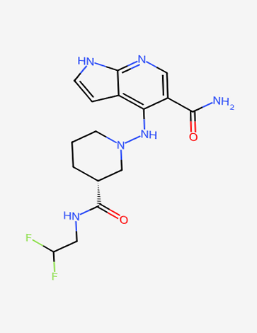 NC(=O)c1cnc2[nH]ccc2c1NN1CCC[C@@H](C(=O)NCC(F)F)C1